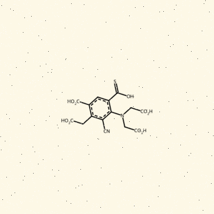 N#Cc1c(CC(=O)O)c(C(=O)O)cc(C(O)=S)c1N(CC(=O)O)CC(=O)O